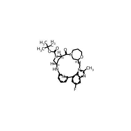 Cc1nc2cc(F)cc3c2n1C[C@H]1CN(CCCO1)C(=O)[C@@H]1C[C@@H](CN1C(=O)OC(C)(C)C)Nc1cccc-3n1